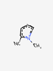 Cn1c[c]cc1C#N